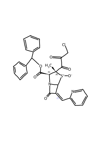 C[C@]1(C(=O)C(=O)CCl)[C@H](C(=O)OC(c2ccccc2)c2ccccc2)N2C(=O)/C(=C/c3ccccn3)C2[S+]1[O-]